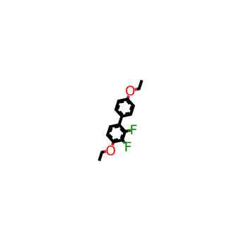 CCOc1ccc(-c2ccc(OCC)c(F)c2F)cc1